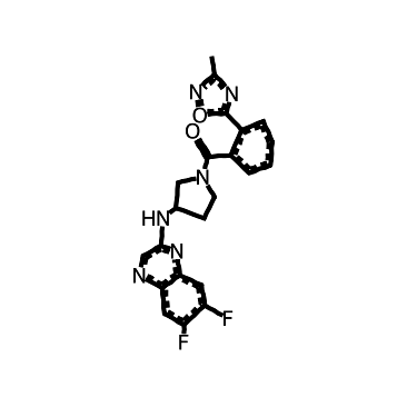 Cc1noc(-c2ccccc2C(=O)N2CCC(Nc3cnc4cc(F)c(F)cc4n3)C2)n1